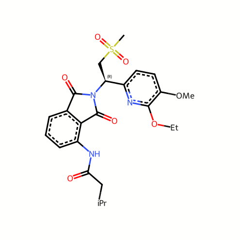 CCOc1nc([C@H](CS(C)(=O)=O)N2C(=O)c3cccc(NC(=O)CC(C)C)c3C2=O)ccc1OC